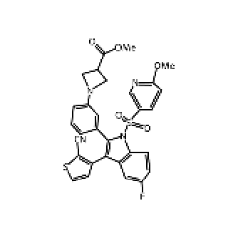 COC(=O)C1CN(c2cccc(-c3c(-c4ccsc4C#N)c4cc(F)ccc4n3S(=O)(=O)c3ccc(OC)nc3)c2)C1